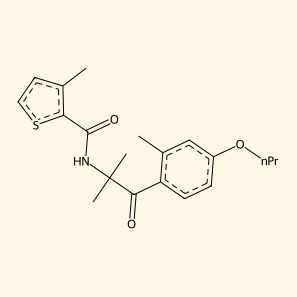 CCCOc1ccc(C(=O)C(C)(C)NC(=O)c2sccc2C)c(C)c1